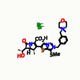 CSc1c2sc(C3=C(C(=O)O)N4C(=O)[C@H]([C@@H](C)O)[C@H]4[C@H]3C)c[n+]2cn1Cc1cccc(C[N+]2(C)CCOCC2)c1.[Br-].[Br-]